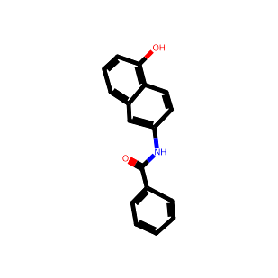 O=C(Nc1ccc2c(O)cccc2c1)c1ccccc1